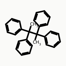 CC(c1ccccc1)(c1ccccc1)C(C)(c1ccccc1)c1ccccc1